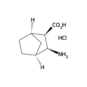 Cl.N[C@H]1[C@H]2CC[C@H](C2)[C@H]1C(=O)O